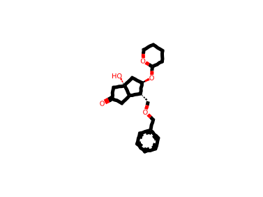 O=C1CC2[C@@H](COCc3ccccc3)[C@H](OC3CCCCO3)C[C@]2(O)C1